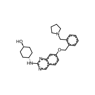 O[C@H]1CC[C@H](Nc2ncc3ccc(OCc4ccccc4CN4CCCC4)cc3n2)CC1